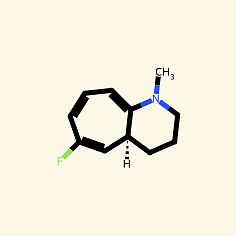 CN1CCC[C@H]2C=C(F)C=CC=C21